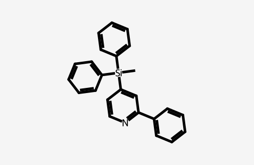 C[Si](c1ccccc1)(c1ccccc1)c1ccnc(-c2ccccc2)c1